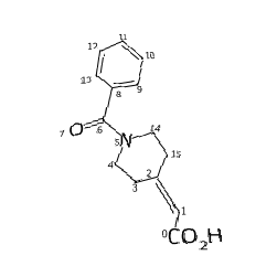 O=C(O)C=C1CCN(C(=O)c2ccccc2)CC1